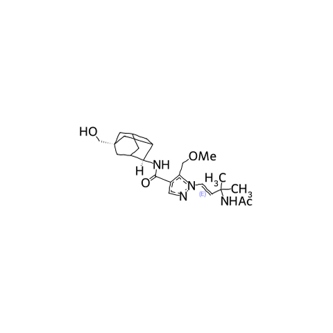 COCc1c(C(=O)N[C@H]2C3CC4CC2C[C@](CO)(C4)C3)cnn1/C=C/C(C)(C)NC(C)=O